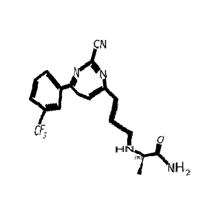 C[C@@H](NCCCc1cc(-c2cccc(C(F)(F)F)c2)nc(C#N)n1)C(N)=O